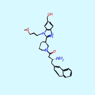 COCCCn1c(C2CCCN(C(=O)C[C@H](N)Cc3ccc4ccccc4c3)C2)nc2ccc(CO)cc21